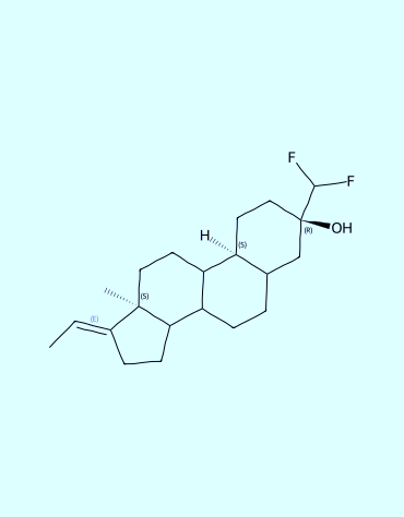 C/C=C1\CCC2C3CCC4C[C@@](O)(C(F)F)CC[C@@H]4C3CC[C@]12C